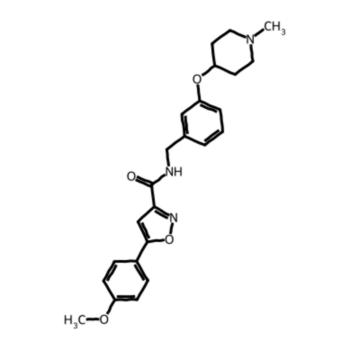 COc1ccc(-c2cc(C(=O)NCc3cccc(OC4CCN(C)CC4)c3)no2)cc1